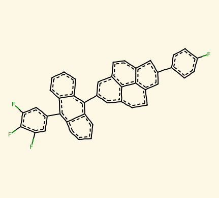 Fc1ccc(-c2cc3ccc4cc(-c5c6ccccc6c(-c6cc(F)c(F)c(F)c6)c6ccccc56)cc5ccc(c2)c3c45)cc1